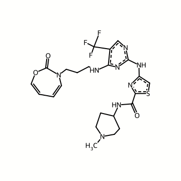 CN1CCC(NC(=O)c2nc(Nc3ncc(C(F)(F)F)c(NCCCN4C=CC=COC4=O)n3)cs2)CC1